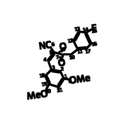 COc1cc(C=C(C#N)S(=O)(=O)Cc2ccc(F)cc2)cc(OC)c1